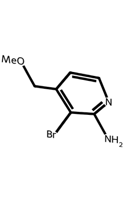 COCc1ccnc(N)c1Br